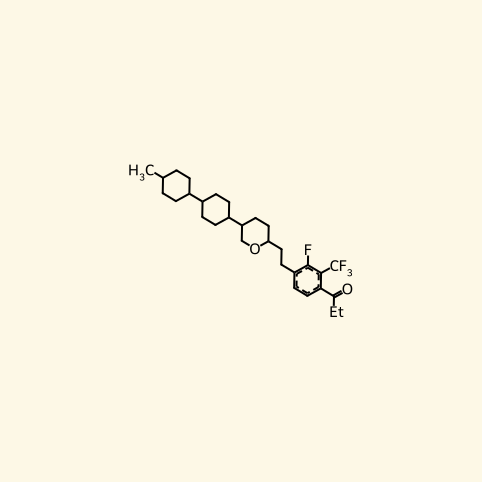 CCC(=O)c1ccc(CCC2CCC(C3CCC(C4CCC(C)CC4)CC3)CO2)c(F)c1C(F)(F)F